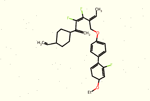 C=CC1CCC(C(=C)/C(F)=C(F)\C(=C/C)COc2ccc(C3=CCC(OCC)C=C3F)cc2)CC1